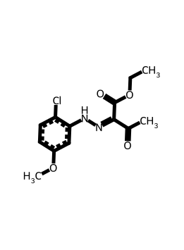 CCOC(=O)C(=NNc1cc(OC)ccc1Cl)C(C)=O